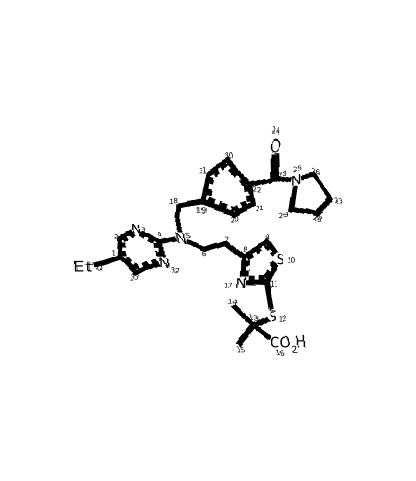 CCc1cnc(N(CCc2csc(SC(C)(C)C(=O)O)n2)Cc2ccc(C(=O)N3CCCC3)cc2)nc1